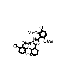 COc1ccc(Cl)c(OC)c1NC1CCCC/C1=C1\SC(c2c(OC)ccc(Cl)c2OC)=NN1C